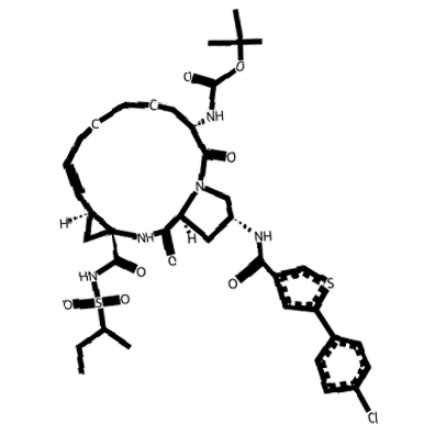 CCC(C)S(=O)(=O)NC(=O)[C@@]12C[C@H]1/C=C\CCCCC[C@H](NC(=O)OC(C)(C)C)C(=O)N1C[C@H](NC(=O)c3csc(-c4ccc(Cl)cc4)c3)C[C@H]1C(=O)N2